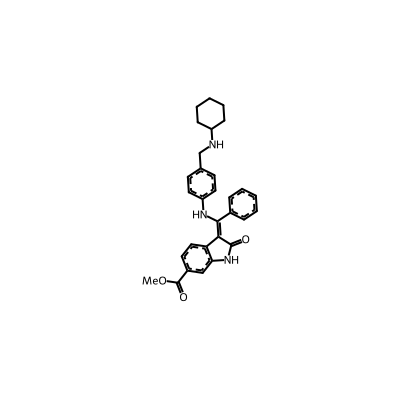 COC(=O)c1ccc2c(c1)NC(=O)C2=C(Nc1ccc(CNC2CCCCC2)cc1)c1ccccc1